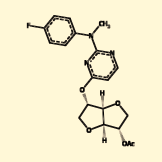 CC(=O)O[C@H]1CO[C@H]2[C@@H]1OC[C@@H]2Oc1ccnc(N(C)c2ccc(F)cc2)n1